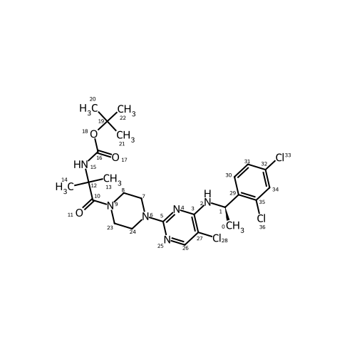 C[C@@H](Nc1nc(N2CCN(C(=O)C(C)(C)NC(=O)OC(C)(C)C)CC2)ncc1Cl)c1ccc(Cl)cc1Cl